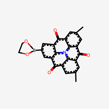 Cc1cc2c(=O)c3cc(C)cc4c(=O)c5cc(B6OCCO6)cc6c(=O)c(c1)c2n(c34)c65